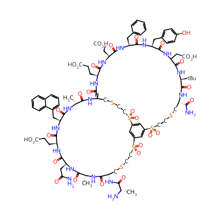 C[C@H](N)C(=O)N[C@H]1CSCCS(=O)(=O)c2cc3cc(c2)S(=O)(=O)CCSC[C@H](NC(=O)[C@@H](C)NC(=O)[C@H](Cc2cccc4ccccc24)NC(=O)[C@H](CCC(=O)O)NC(=O)[C@H](CC(N)=O)NC(=O)[C@@H](C)NC1=O)C(=O)N[C@@H](CCC(=O)O)C(=O)N[C@@H](CC(=O)O)C(=O)N[C@@H](Cc1ccccc1)C(=O)N[C@@H](Cc1ccc(O)cc1)C(=O)NC(CC(=O)O)C(=O)N[C@@H](C(C)(C)C)C(=O)N[C@H](C(N)=O)CSCCS3(=O)=O